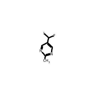 Cc1ncc(C(F)I)cn1